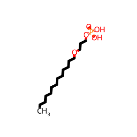 CCCCCCCCCCCCCOCCCOP(=O)(O)O